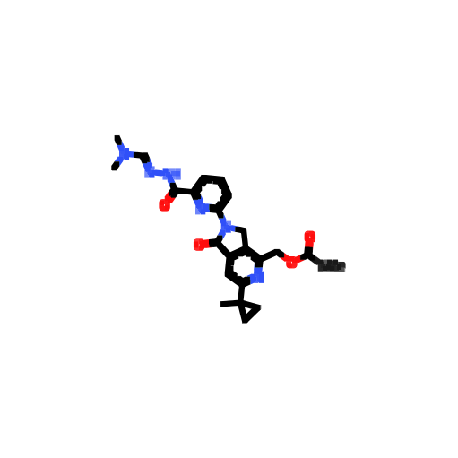 CNC(=O)OCc1nc(C2(C)CC2)cc2c1CN(c1cccc(C(=O)N/N=C/N(C)C)n1)C2=O